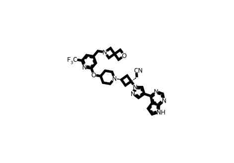 N#CC[C@]1(n2cc(-c3ncnc4[nH]ccc34)cn2)C[C@H](N2CCC(Oc3cc(CN4CC5(COC5)C4)cc(C(F)(F)F)n3)CC2)C1